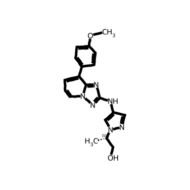 COc1ccc(-c2cccn3nc(Nc4cnn([C@@H](C)CO)c4)nc23)cc1